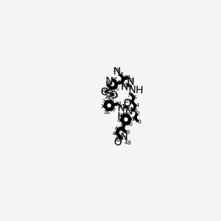 CCC[C@H](CCCCNc1ncc(C#N)c(-c2cncc(S(C)(=O)=O)c2)n1)N(C(=O)NCc1ccccc1)c1ccc(-c2ccc(=O)n(C)c2)cc1